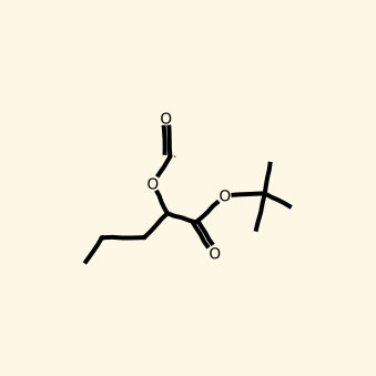 CCCC(O[C]=O)C(=O)OC(C)(C)C